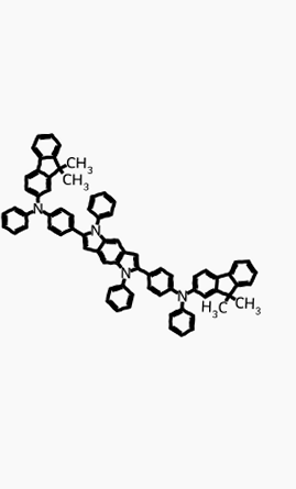 CC1(C)c2ccccc2-c2ccc(N(c3ccccc3)c3ccc(-c4cc5cc6c(cc(-c7ccc(N(c8ccccc8)c8ccc9c(c8)C(C)(C)c8ccccc8-9)cc7)n6-c6ccccc6)cc5n4-c4ccccc4)cc3)cc21